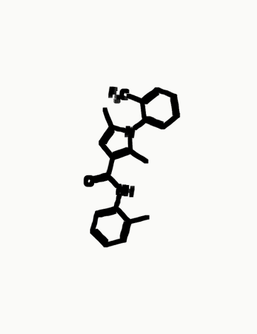 Cc1ccccc1NC(=O)c1cc(C)n(-c2ccccc2C(F)(F)F)c1C